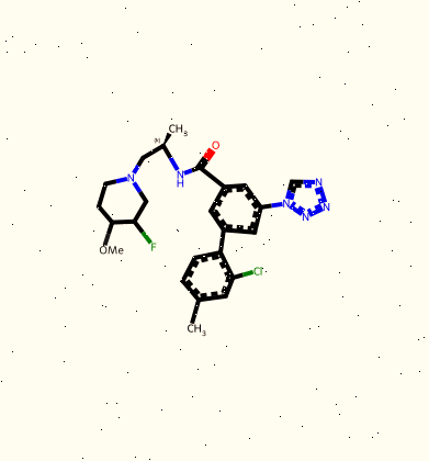 COC1CCN(C[C@@H](C)NC(=O)c2cc(-c3ccc(C)cc3Cl)cc(-n3cnnn3)c2)CC1F